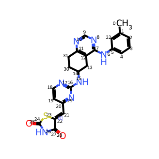 Cc1cccc(Nc2ncnc3c2CC(Nc2nccc(/C=C4\SC(=O)NC4=O)n2)CC3)c1